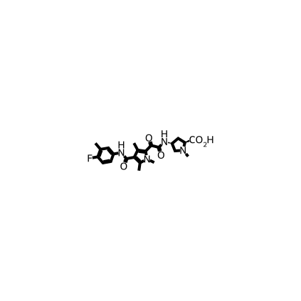 Cc1cc(NC(=O)c2c(C)c(C(=O)C(=O)N[C@@H]3C[C@@H](C(=O)O)N(C)C3)n(C)c2C)ccc1F